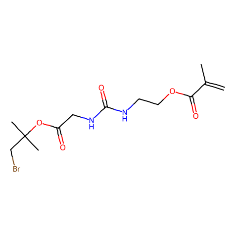 C=C(C)C(=O)OCCNC(=O)NCC(=O)OC(C)(C)CBr